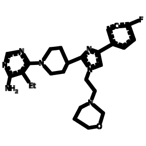 CCc1c(N)ncnc1N1CCC(c2nc(-c3ccc(F)cc3)cn2CCN2CCCOC2)CC1